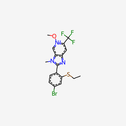 CCSc1cc(Br)ccc1-c1nc2cc(C(F)(F)F)[n+](OC)cc2n1C